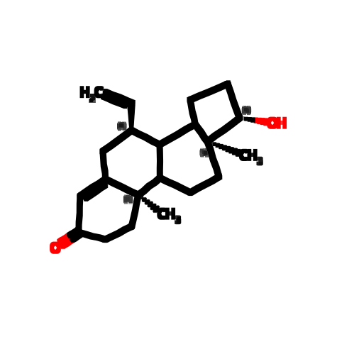 C=C[C@@H]1CC2=CC(=O)CC[C@]2(C)C2CC[C@@]3(C)C(CC[C@@H]3O)C21